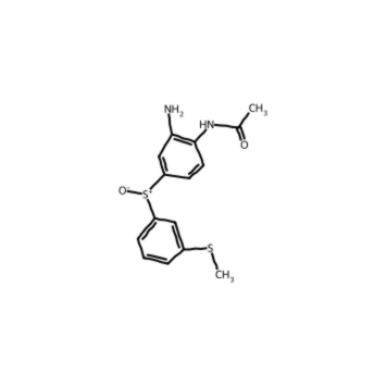 CSc1cccc([S+]([O-])c2ccc(NC(C)=O)c(N)c2)c1